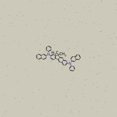 CC1(C)c2cc(N(c3ccccc3)c3ccc4ccccc4c3)ccc2-c2cc3ccc(N(c4ccccc4)c4ccc5ccccc5c4)cc3cc21